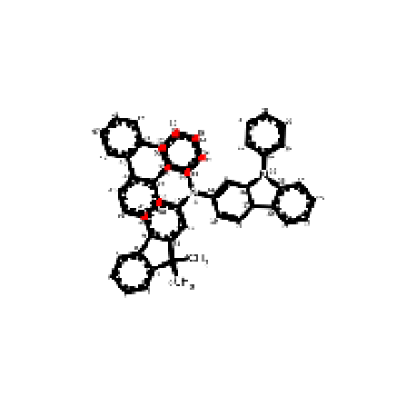 CC1(C)c2ccccc2-c2ccc(N(C3=CC4C(C=C3)c3ccccc3N4c3ccccc3)c3ccccc3-c3ccccc3-c3ccccc3-c3ccccc3)cc21